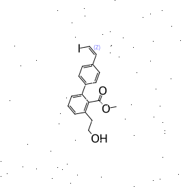 COC(=O)c1c(CCO)cccc1-c1ccc(/C=C\I)cc1